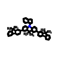 CC1(C)c2ccccc2-c2ccc(-c3ccc4c(c3)C(C)(C)c3cc(C5=CC6C(C=C5)c5ccccc5C6(C)C)ccc3N4c3cccc4ccccc34)cc21